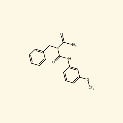 NC(=O)N(Cc1ccccc1)C(=O)Nc1cccc(OC(F)(F)F)c1